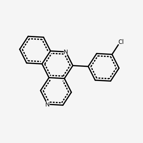 Clc1cccc(-c2nc3ccccc3c3cnccc23)c1